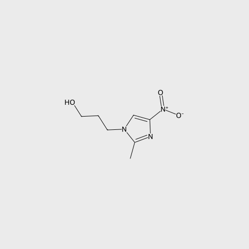 Cc1nc([N+](=O)[O-])cn1CCCO